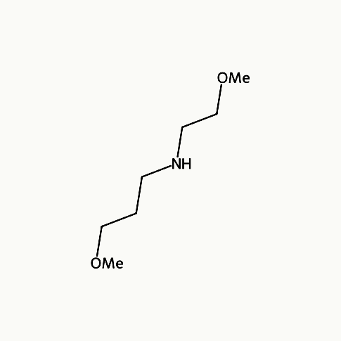 COCCCNCCOC